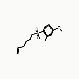 C=CCCCCS(=O)(=O)c1ccc(OC)cc1C